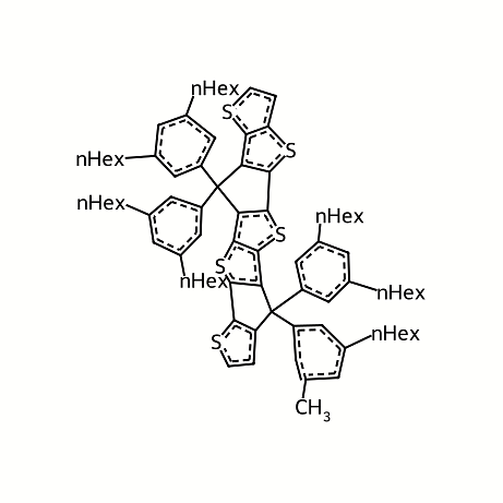 CCCCCCc1cc(C)cc(C2(c3cc(CCCCCC)cc(CCCCCC)c3)c3ccsc3-c3sc4c5c(sc4c32)-c2sc3ccsc3c2C5(c2cc(CCCCCC)cc(CCCCCC)c2)c2cc(CCCCCC)cc(CCCCCC)c2)c1